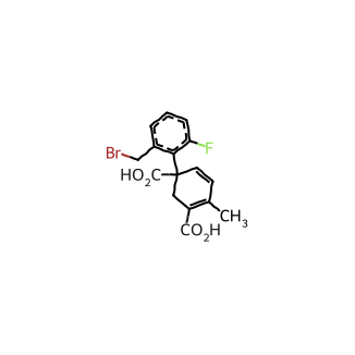 CC1=C(C(=O)O)CC(C(=O)O)(c2c(F)cccc2CBr)C=C1